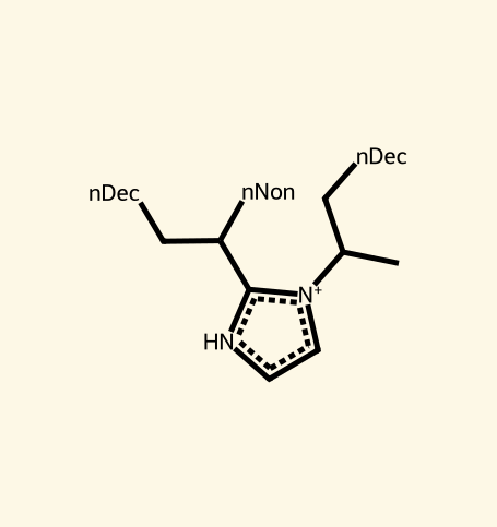 CCCCCCCCCCCC(CCCCCCCCC)c1[nH]cc[n+]1C(C)CCCCCCCCCCC